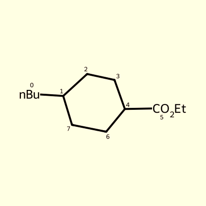 CCCCC1CCC(C(=O)OCC)CC1